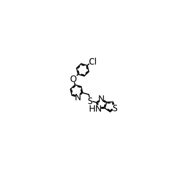 Clc1ccc(Oc2ccnc(CSc3nc4cscc4[nH]3)c2)cc1